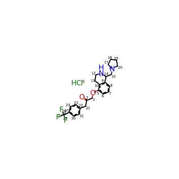 Cl.O=C(COc1cccc2c1CCNC2CN1CCCC1)Cc1ccc(C(F)(F)F)cc1